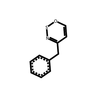 C1=CC(Cc2ccccc2)=NSO1